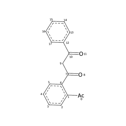 CC(=O)c1ccccc1C(=O)CC(=O)c1ccccc1